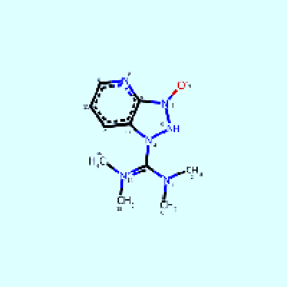 CN(C)C(N1NN([O-])c2ncccc21)=[N+](C)C